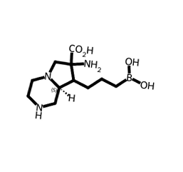 NC1(C(=O)O)CN2CCNC[C@@H]2C1CCCB(O)O